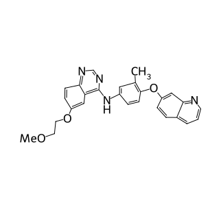 COCCOc1ccc2ncnc(Nc3ccc(Oc4ccc5cccnc5c4)c(C)c3)c2c1